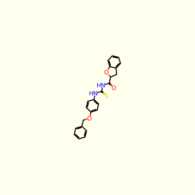 O=C(NC(=S)Nc1ccc(OCc2ccccc2)cc1)C1Cc2ccccc2O1